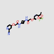 C=C(/C=C\C1=C(C)OC(F)(F)O1)OCC(=O)NC12CC(NC(=O)COc3ccnc(C#N)c3)(C1)C2